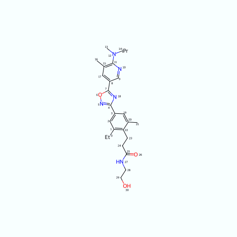 CCc1cc(-c2noc(-c3cnc(N(C)C(C)C)c(C)c3)n2)cc(C)c1CCC(=O)NCCO